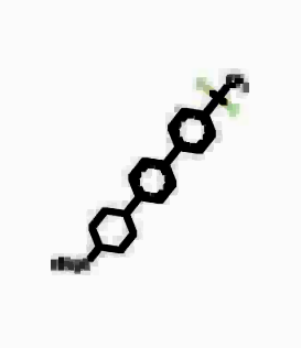 CCCCCCCC1CCC(c2ccc(-c3ccc(C(F)(F)C(F)(F)F)cc3)cc2)CC1